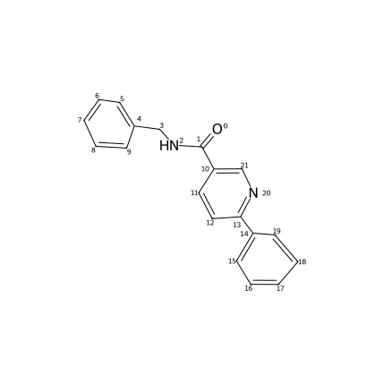 O=C(NCc1ccccc1)c1ccc(-c2ccccc2)nc1